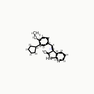 COc1ccc(/C=C2\C(=O)Nc3ncccc32)cc1C1CCCC1